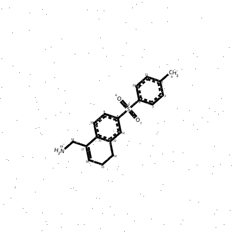 Cc1ccc(S(=O)(=O)c2ccc3c(c2)CCC=C3CN)cc1